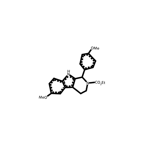 CCOC(=O)N1CCc2c([nH]c3ccc(OC)cc23)C1c1ccc(OC)cc1